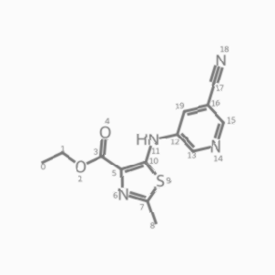 CCOC(=O)c1nc(C)sc1Nc1cncc(C#N)c1